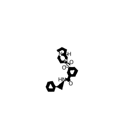 O=C(N[C@@H]1C[C@H]1c1ccccc1)c1cccc(S(=O)(=O)N2CCN3CCC[C@H]3C2)c1